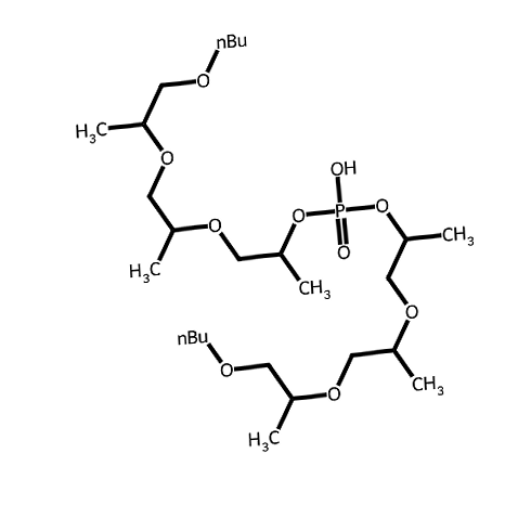 CCCCOCC(C)OCC(C)OCC(C)OP(=O)(O)OC(C)COC(C)COC(C)COCCCC